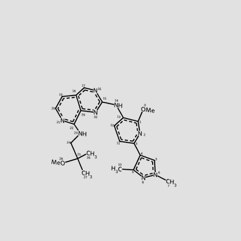 COc1nc(-c2cn(C)nc2C)ccc1Nc1ncc2ccnc(NCC(C)(C)OC)c2n1